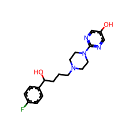 Oc1cnc(N2CCN(CCCC(O)c3ccc(F)cc3)CC2)nc1